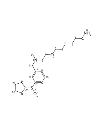 CN(CCOCCCCCCN)Cc1cccc([S+]([O-])C2CCCC2)c1